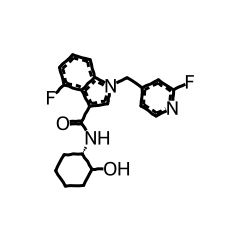 O=C(N[C@H]1CCCCC1O)c1cn(Cc2ccnc(F)c2)c2cccc(F)c12